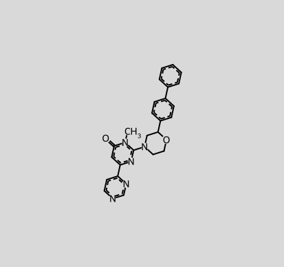 Cn1c(N2CCOC(c3ccc(-c4ccccc4)cc3)C2)nc(-c2ccncn2)cc1=O